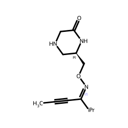 CC#C/C(=N\OC[C@H]1CNCC(=O)N1)C(C)C